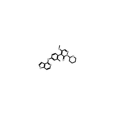 COc1cnn(C2CCCCO2)c(=O)c1-c1ccc(Oc2nccc3occc23)cc1C